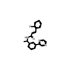 CC(NC(=O)/C=C/c1ccccc1F)c1cccc(-c2cnccn2)c1